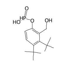 CC(C)(C)c1ccc(O[PH](=O)O)c(CO)c1C(C)(C)C